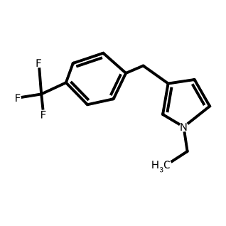 CCn1ccc(Cc2ccc(C(F)(F)F)cc2)c1